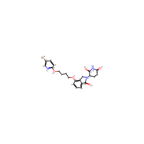 O=C1CCC(N2Cc3c(OCCCCOc4ccc(Br)cn4)cccc3C2=O)C(=O)N1